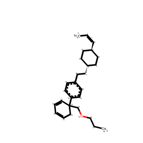 C/C=C\[C@H]1CC[C@H](CCc2ccc(C3(COCCC)C=CC=CC3)cc2)CC1